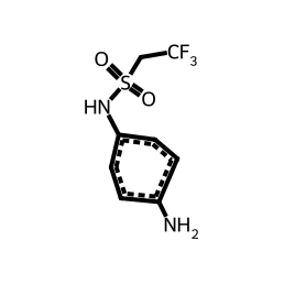 Nc1ccc(NS(=O)(=O)CC(F)(F)F)cc1